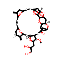 C=C1CC2CC[C@@]34C[C@H]5OC6C(OC7CCC(CC(=O)CC8[C@@H](OC)C(CC(O)CO)O[C@H]8CC8OC(CCC1O2)C[C@@H](C)C8=C)O[C@@H]7C6O3)C5O4